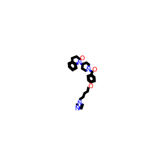 O=C(c1ccc(OCCCCCn2ccnc2)cc1)N1CCC(N2C(=O)CCc3ccccc32)CC1